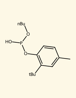 CCCCOP(O)Oc1ccc(C)cc1C(C)(C)C